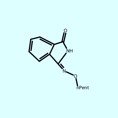 CCCCCON=C1NC(=O)c2ccccc21